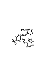 O=[N+]([O-])c1ccc(/N=C/c2ccccc2O)c(/N=C/c2ccccc2O)c1